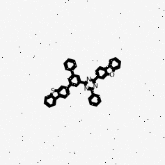 c1ccc(-c2cc(-c3ccc4c(c3)sc3ccccc34)cc(-c3nc(-c4ccccc4)nc(-c4ccc5c(c4)oc4ccccc45)n3)c2)cc1